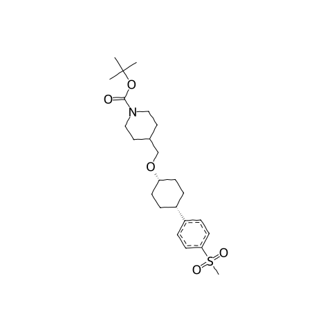 CC(C)(C)OC(=O)N1CCC(CO[C@H]2CC[C@@H](c3ccc(S(C)(=O)=O)cc3)CC2)CC1